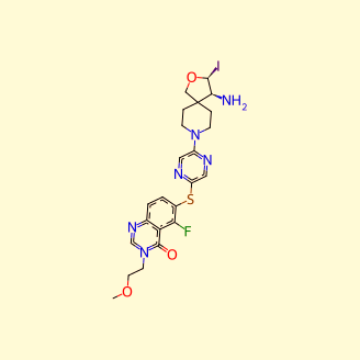 COCCn1cnc2ccc(Sc3cnc(N4CCC5(CC4)CO[C@@H](I)[C@H]5N)cn3)c(F)c2c1=O